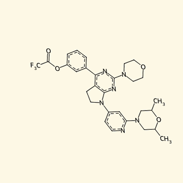 CC1CN(c2cc(N3CCc4c(-c5cccc(OC(=O)C(F)(F)F)c5)nc(N5CCOCC5)nc43)ccn2)CC(C)O1